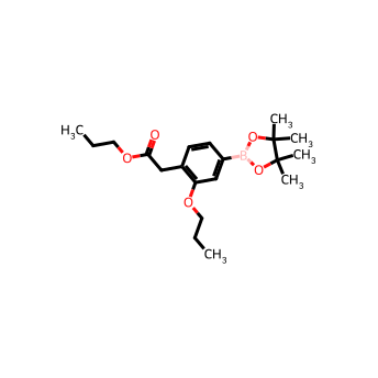 CCCOC(=O)Cc1ccc(B2OC(C)(C)C(C)(C)O2)cc1OCCC